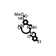 CCc1ccc2c(c1)CCN([C@H]1CCCCC(=O)Nc3cc(NC(=O)OC)ccc3-c3c[nH]c1n3)C2=O